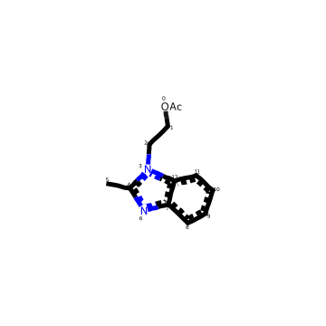 CC(=O)OCCn1c(C)nc2ccccc21